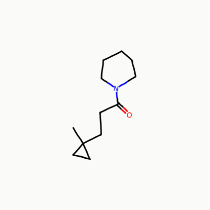 CC1(CCC(=O)N2CCCCC2)CC1